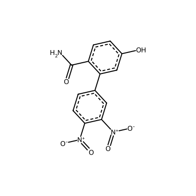 NC(=O)c1ccc(O)cc1-c1ccc([N+](=O)[O-])c([N+](=O)[O-])c1